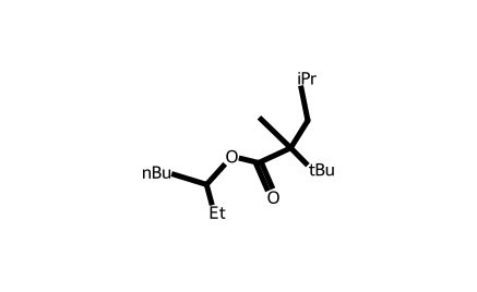 CCCCC(CC)OC(=O)C(C)(CC(C)C)C(C)(C)C